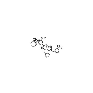 CCCc1cc(C(=O)N[C@@H](Cc2ccccc2)[C@H](O)CNCc2cccc(C(F)(F)F)c2)cc(N2CCCCCS2(O)O)c1